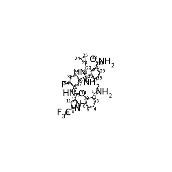 NCc1cccc(-n2nc(C(F)(F)F)cc2C(=O)Nc2cc(C(N)(NCC3CC3)c3cccc(C(N)=O)c3)ccc2F)c1